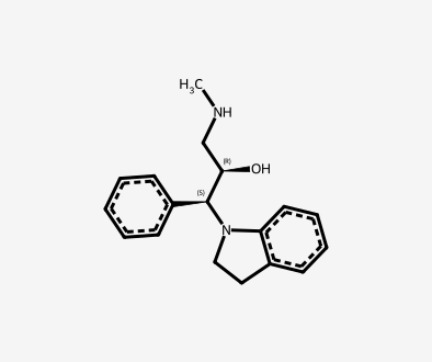 CNC[C@@H](O)[C@H](c1ccccc1)N1CCc2ccccc21